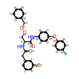 O=C(Cc1cccc(Br)c1)NC(COOCc1ccccc1)C(=O)Nc1ccc(Oc2ccc(F)cc2)cc1